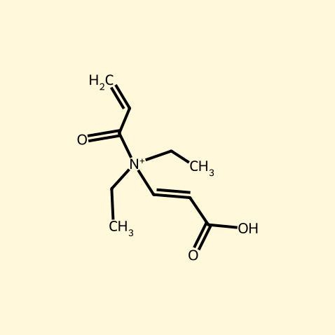 C=CC(=O)[N+](C=CC(=O)O)(CC)CC